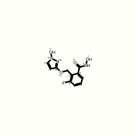 O=C(NO)c1cccc(F)c1COc1ccn(O)n1